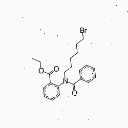 CCOC(=O)c1ccccc1N(CCCCCCBr)C(=O)c1ccccc1